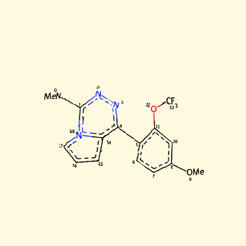 CNc1nnc(-c2ccc(OC)cc2OC(F)(F)F)c2cccn12